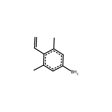 Bc1cc(C)c(C=C)c(C)c1